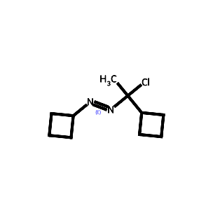 CC(Cl)(/N=N/C1CCC1)C1CCC1